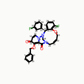 O=C1c2c(OCc3ccccc3)c(=O)ccn2N2CN1C/C=C\COc1c(F)cccc1[C@@H]2c1cccc(F)c1